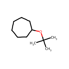 CC(C)(C)OC1CCCCCC1